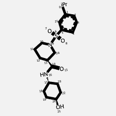 CC(C)c1cccc(S(=O)(=O)N2CCC[C@H](C(=O)N[C@H]3CC[C@H](O)CC3)C2)c1